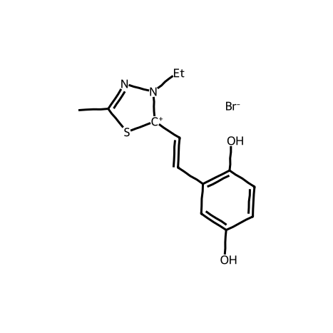 CCn1nc(C)s[c+]1C=Cc1cc(O)ccc1O.[Br-]